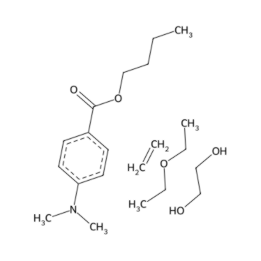 C=C.CCCCOC(=O)c1ccc(N(C)C)cc1.CCOCC.OCCO